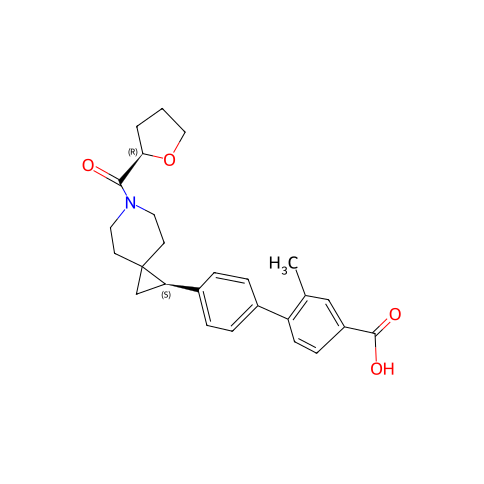 Cc1cc(C(=O)O)ccc1-c1ccc([C@H]2CC23CCN(C(=O)[C@H]2CCCO2)CC3)cc1